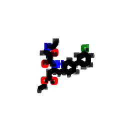 CCOC(=O)CC(Cc1ccc(-c2cccc(Cl)c2)cc1)NC(=O)c1cnc(C)o1